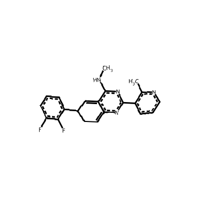 CNc1nc(-c2cccnc2C)nc2c1=CC(c1cccc(F)c1F)CC=2